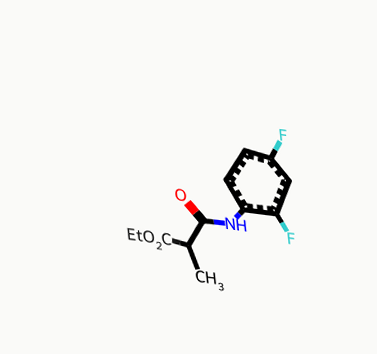 CCOC(=O)C(C)C(=O)Nc1ccc(F)cc1F